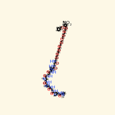 Cn1cc(NC(=O)c2nc(NC(=O)CCNC(=O)c3cc(NC(=O)c4nccn4C)cn3C)cn2C)cc1C(=O)NCCC(=O)Nc1cn(C)c(C(=O)NCCC(=O)NCCOCCOCCOCCOCCOCCOCCOCCOCCOc2ccc([N+](=O)[O-])cc2OCc2ccccc2)n1